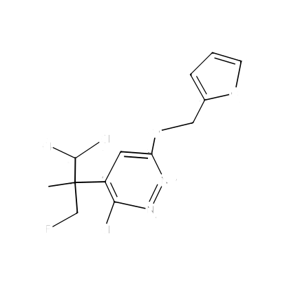 CC(CF)(c1cc(OCc2ccco2)nnc1Cl)C(Cl)Cl